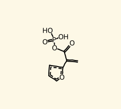 C=C(C(=O)OP(=O)(O)O)c1ccco1